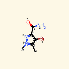 Cc1c(Br)c(C(N)=O)nn1C